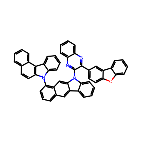 c1cc(-n2c3ccccc3c3c4ccccc4ccc32)c2cc3c(cc2c1)c1ccccc1n3-c1nc2ccccc2nc1-c1ccc2oc3ccccc3c2c1